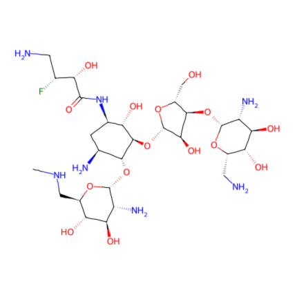 CNC[C@H]1O[C@H](O[C@H]2[C@H](O[C@@H]3O[C@H](CO)[C@@H](O[C@H]4O[C@@H](CN)[C@@H](O)[C@H](O)[C@H]4N)[C@H]3O)[C@@H](O)[C@H](NC(=O)[C@@H](O)[C@H](F)CN)C[C@@H]2N)[C@H](N)[C@@H](O)[C@@H]1O